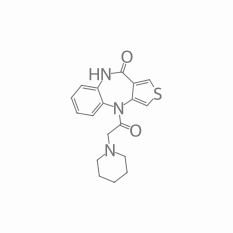 O=C1Nc2ccccc2N(C(=O)CN2CCCCC2)c2cscc21